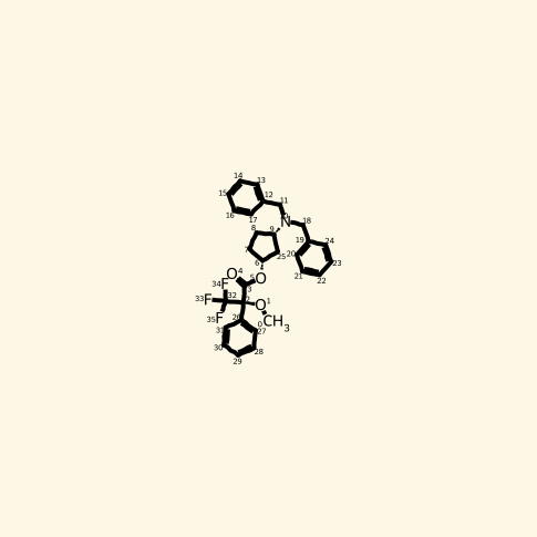 CO[C@@](C(=O)O[C@@H]1CC[C@H](N(Cc2ccccc2)Cc2ccccc2)C1)(c1ccccc1)C(F)(F)F